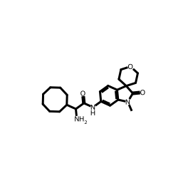 CN1C(=O)C2(CCOCC2)c2ccc(NC(=O)C(N)C3CCCCCCC3)cc21